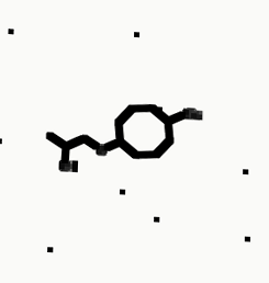 CC(O)COC1CCCC(C(C)(C)C)CCC1